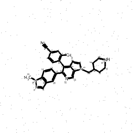 Cc1cc(C#N)ccc1-c1c(-c2ccc3c(cnn3C)c2)ncc2c1ccn2CC1CCNCC1